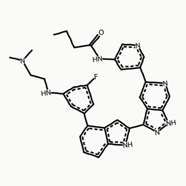 CCCC(=O)Nc1cncc(-c2cc3c(-c4cc5c(-c6cc(F)cc(NCCN(C)C)c6)cccc5[nH]4)n[nH]c3cn2)c1